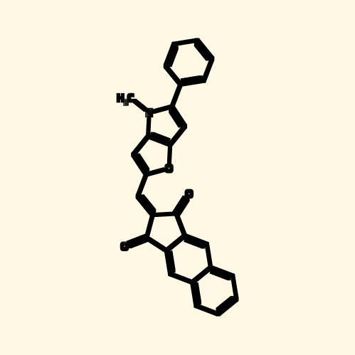 Cn1c(-c2ccccc2)cc2oc(C=C3C(=O)c4cc5ccccc5cc4C3=O)cc21